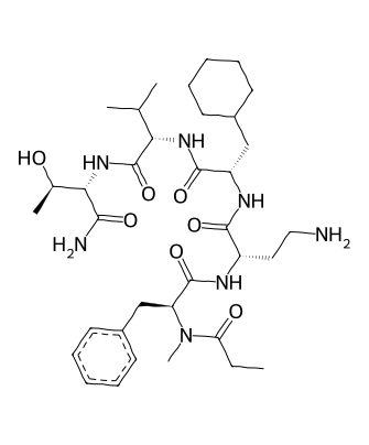 CCC(=O)N(C)[C@@H](Cc1ccccc1)C(=O)N[C@@H](CCN)C(=O)N[C@@H](CC1CCCCC1)C(=O)N[C@H](C(=O)N[C@H](C(N)=O)[C@@H](C)O)C(C)C